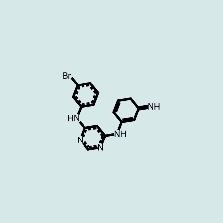 N=C1C=C(Nc2cc(Nc3cccc(Br)c3)ncn2)C=CC1